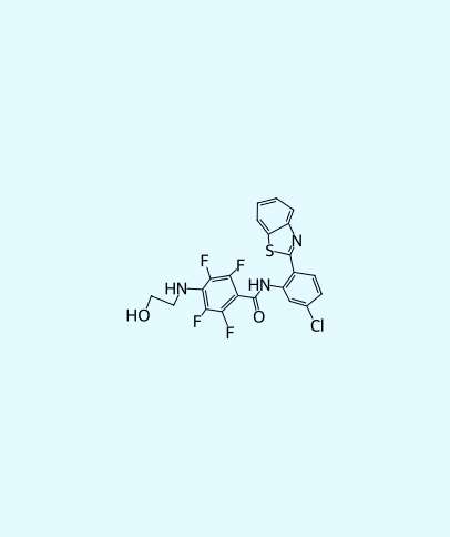 O=C(Nc1cc(Cl)ccc1-c1nc2ccccc2s1)c1c(F)c(F)c(NCCO)c(F)c1F